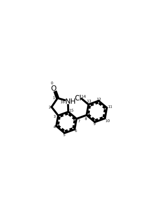 O=C1Cc2cccc(-c3ccccc3Cl)c2N1